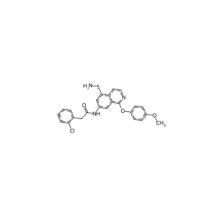 COc1ccc(Oc2nccc3c(SN)cc(NC(=O)Cc4ccccc4Cl)cc23)cc1